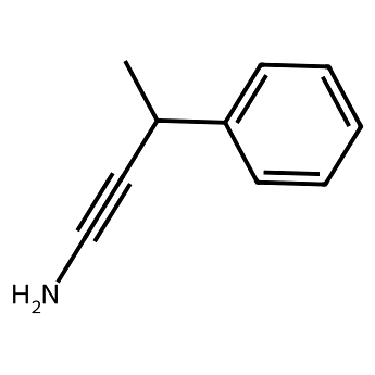 CC(C#CN)c1ccccc1